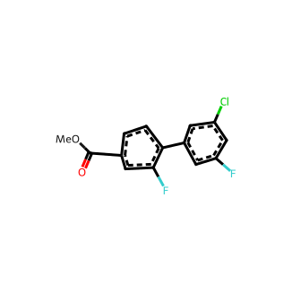 COC(=O)c1ccc(-c2cc(F)cc(Cl)c2)c(F)c1